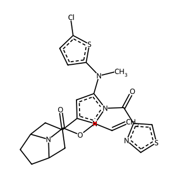 C=CCOC(=O)N1C2CCC1CC(c1cc(N(C)c3ccc(Cl)s3)n(C(=O)c3cscn3)n1)C2